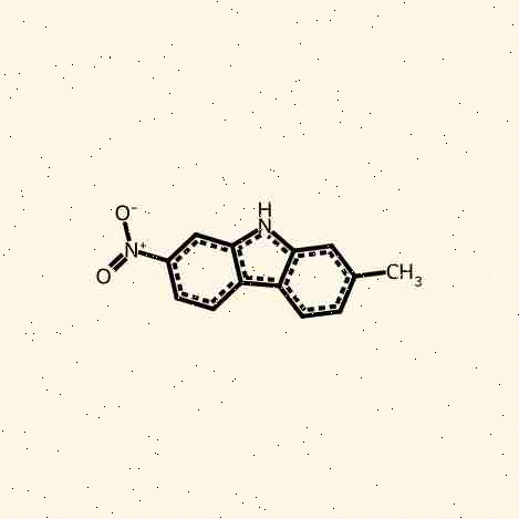 Cc1ccc2c(c1)[nH]c1cc([N+](=O)[O-])ccc12